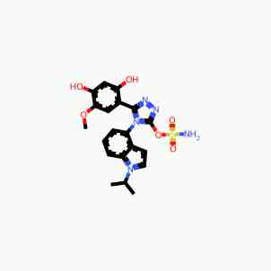 COc1cc(-c2nnc(OS(N)(=O)=O)n2-c2cccc3c2ccn3C(C)C)c(O)cc1O